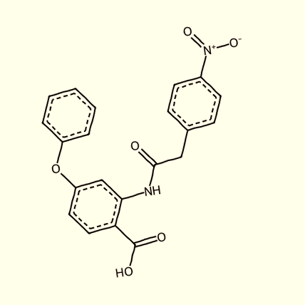 O=C(Cc1ccc([N+](=O)[O-])cc1)Nc1cc(Oc2ccccc2)ccc1C(=O)O